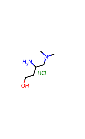 CN(C)CC(N)CCO.Cl